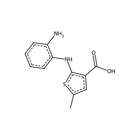 Cc1cc(C(=O)O)c(Nc2ccccc2N)s1